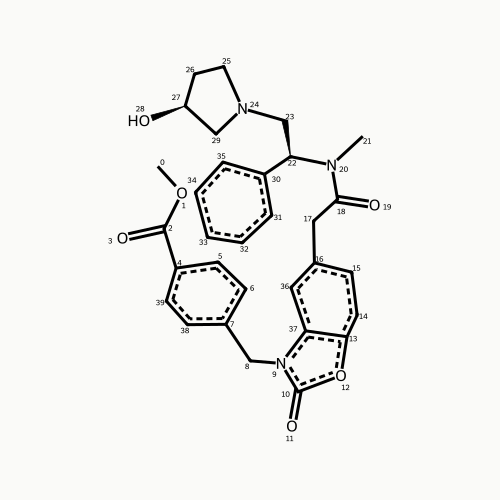 COC(=O)c1ccc(Cn2c(=O)oc3ccc(CC(=O)N(C)[C@H](CN4CC[C@H](O)C4)c4ccccc4)cc32)cc1